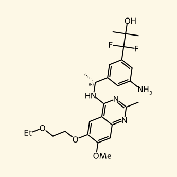 CCOCCOc1cc2c(N[C@H](C)c3cc(N)cc(C(F)(F)C(C)(C)O)c3)nc(C)nc2cc1OC